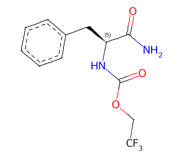 NC(=O)[C@H](Cc1ccccc1)NC(=O)OCC(F)(F)F